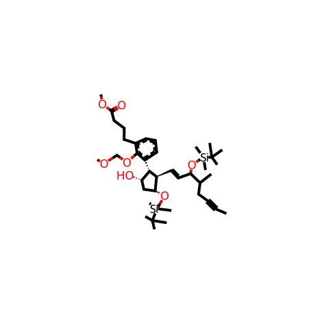 CC#CCC(C)C(/C=C/[C@@H]1[C@@H](c2cccc(CCCC(=O)OC)c2OCOC)[C@@H](O)C[C@H]1O[Si](C)(C)C(C)(C)C)O[Si](C)(C)C(C)(C)C